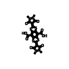 CN1C(=O)C(=C2Sc3c(c(C(=O)O)c4c(c3C(=O)O)SC(=C3C(=O)N(C)N(C)C3=O)S4)S2)C(=O)N1C